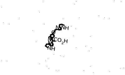 O=C(O)CC(c1ccc2c(n1)CCCN2)n1ncc2cc(OCCc3ccc4c(n3)CCCN4)ccc21